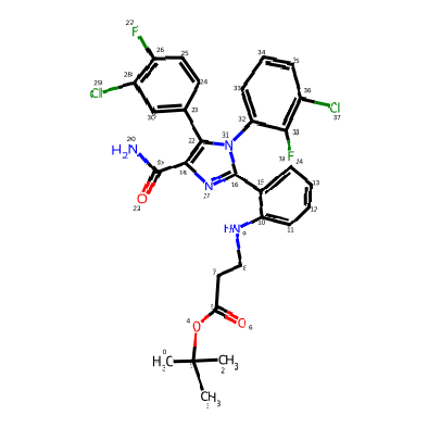 CC(C)(C)OC(=O)CCNc1ccccc1-c1nc(C(N)=O)c(-c2ccc(F)c(Cl)c2)n1-c1cccc(Cl)c1F